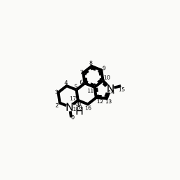 CN1CCCC2c3cccc4c3c(cn4C)C[C@H]21